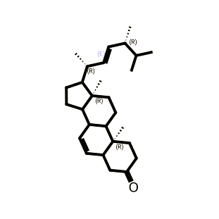 CC(C)[C@@H](C)/C=C/[C@@H](C)C1CCC2C3C=CC4CC(=O)CC[C@]4(C)C3CC[C@@]21C